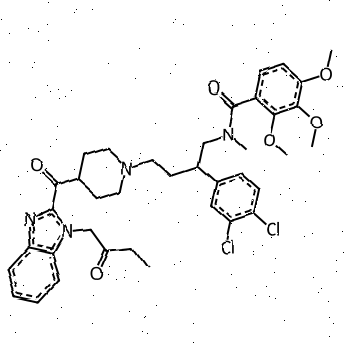 CCC(=O)Cn1c(C(=O)C2CCN(CCC(CN(C)C(=O)c3ccc(OC)c(OC)c3OC)c3ccc(Cl)c(Cl)c3)CC2)nc2ccccc21